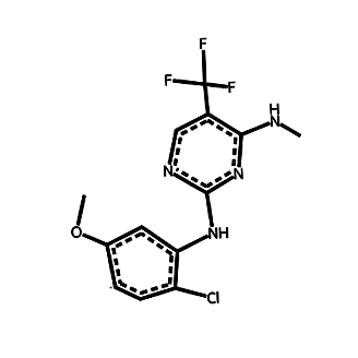 CNc1nc(Nc2cc(OC)[c]cc2Cl)ncc1C(F)(F)F